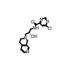 O=C(NC[C@H](O)CN1CCc2ccncc2C1)c1cc(Cl)ncn1